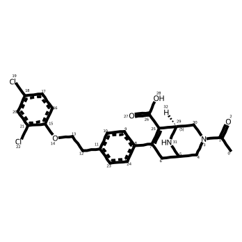 CC(=O)N1CC2CC(c3ccc(CCOc4ccc(Cl)cc4Cl)cc3)=C(C(=O)O)[C@@H](C1)N2